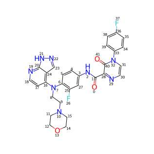 O=C(Nc1ccc(N(CCN2CCOCC2)c2ccnc3[nH]ncc23)c(F)c1)c1nccn(-c2ccc(F)cc2)c1=O